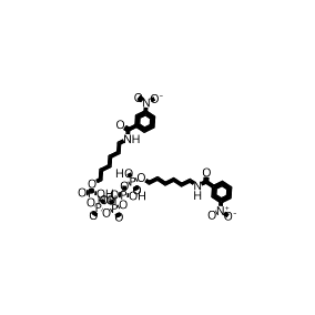 O=C(NCCCCCCOP(=O)(O)OP(=O)(O)OP(=O)(O)OP(=O)(O)OP(=O)(O)OCCCCCCNC(=O)c1cccc([N+](=O)[O-])c1)c1cccc([N+](=O)[O-])c1